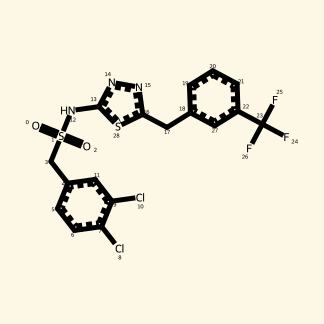 O=S(=O)(Cc1ccc(Cl)c(Cl)c1)Nc1nnc(Cc2cccc(C(F)(F)F)c2)s1